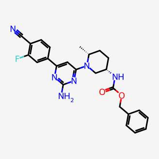 C[C@@H]1CC[C@H](NC(=O)OCc2ccccc2)CN1c1cc(-c2ccc(C#N)c(F)c2)nc(N)n1